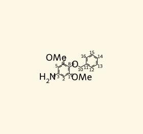 COc1cc(N)cc(OC)c1OCc1ccccc1